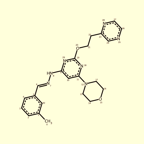 Cc1cccc(C=NNc2cc(N3CCOCC3)nc(OCCc3cnccn3)n2)c1